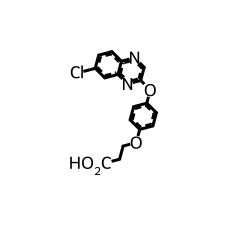 O=C(O)CCOc1ccc(Oc2cnc3ccc(Cl)cc3n2)cc1